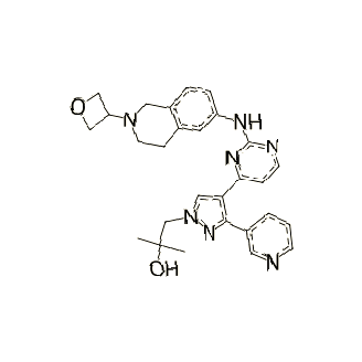 CC(C)(O)Cn1cc(-c2ccnc(Nc3ccc4c(c3)CCN(C3COC3)C4)n2)c(-c2cccnc2)n1